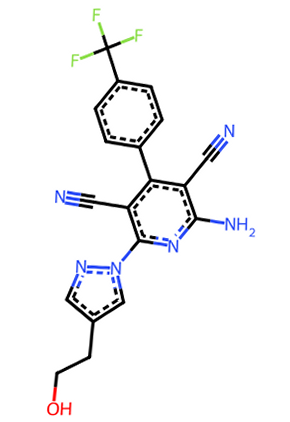 N#Cc1c(N)nc(-n2cc(CCO)cn2)c(C#N)c1-c1ccc(C(F)(F)F)cc1